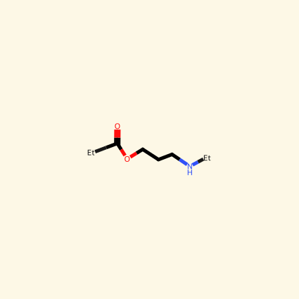 CCNCCCOC(=O)CC